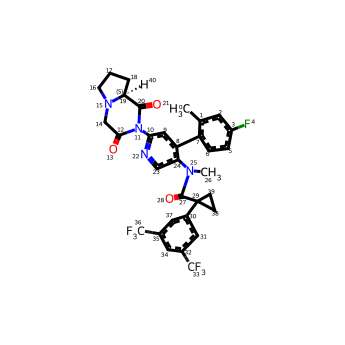 Cc1cc(F)ccc1-c1cc(N2C(=O)CN3CCC[C@H]3C2=O)ncc1N(C)C(=O)C1(c2cc(C(F)(F)F)cc(C(F)(F)F)c2)CC1